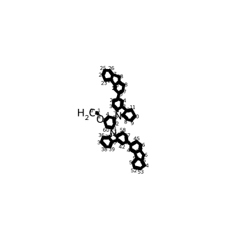 C=COc1cc(-n2c3ccccc3c3cc(-c4ccc5c(c4)-c4ccccc4C5)ccc32)cc(-n2c3ccccc3c3cc(-c4ccc5c(c4)-c4ccccc4C5)ccc32)c1